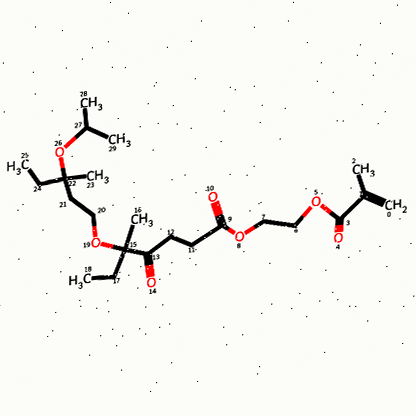 C=C(C)C(=O)OCCOC(=O)CCC(=O)C(C)(CC)OCCC(C)(CC)OC(C)C